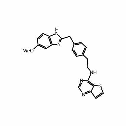 COc1ccc2[nH]c(Cc3ccc(CCNc4ncnc5ccsc45)cc3)nc2c1